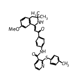 COc1ccc2c(c1)/C(=C/C(=O)c1ccc(NC(=O)c3cccnc3Sc3ccc(C)cc3)cc1)NC(C)(C)C2